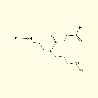 CC(C)NCCCN(CCCNC(C)C)C(=O)CCC(=O)C(C)C